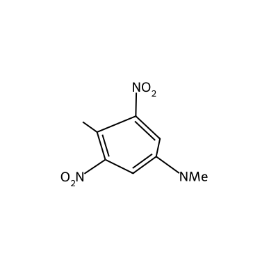 CNc1cc([N+](=O)[O-])c(C)c([N+](=O)[O-])c1